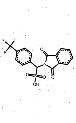 O=C1c2ccccc2C(=O)N1C(c1ccc(C(F)(F)F)cc1)S(=O)(=O)O